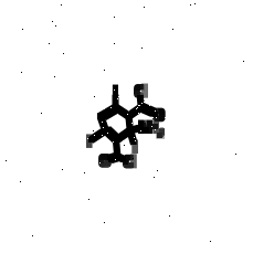 NC1(I)C(C(=O)Cl)=C(I)C=C(I)C1C(=O)Cl